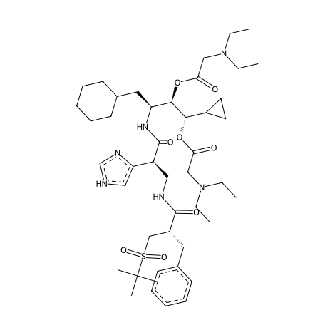 CCN(CC)CC(=O)O[C@H]([C@H](CC1CCCCC1)NC(=O)[C@@H](CNC(=O)[C@H](Cc1ccccc1)CS(=O)(=O)C(C)(C)C)c1c[nH]cn1)[C@@H](OC(=O)CN(CC)CC)C1CC1